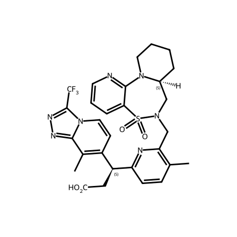 Cc1ccc([C@@H](CC(=O)O)c2ccn3c(C(F)(F)F)nnc3c2C)nc1CN1C[C@@H]2CCCCN2c2ncccc2S1(=O)=O